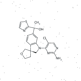 C[C@](O)(c1ccc2c(c1)N(c1nc(N)ncc1Cl)C[C@]21CCOC1)c1nccs1